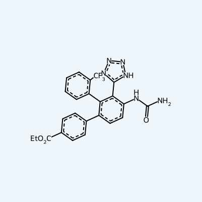 CCOC(=O)c1ccc(-c2ccc(NC(N)=O)c(-c3nnn[nH]3)c2-c2ccccc2C(F)(F)F)cc1